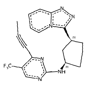 CC#Cc1nc(N[C@@H]2CCC[C@H](c3nnc4ccccn34)C2)ncc1C(F)(F)F